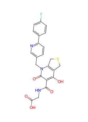 O=C(O)CNC(=O)c1c(O)c2c(n(Cc3ccc(-c4ccc(F)cc4)nc3)c1=O)CSC2